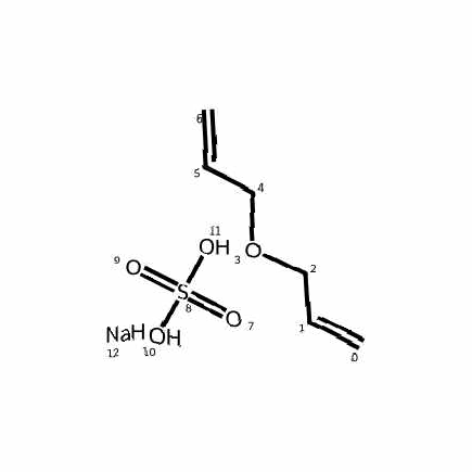 C=CCOCC=C.O=S(=O)(O)O.[NaH]